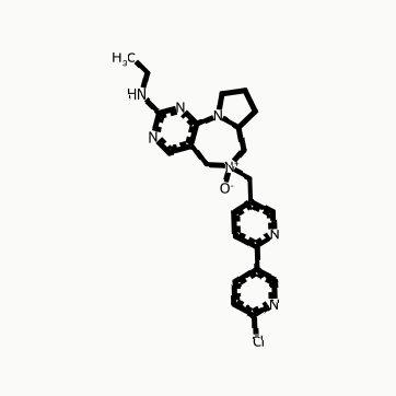 CCNc1ncc2c(n1)N1CCCC1C[N+]([O-])(Cc1ccc(-c3ccc(Cl)nc3)nc1)C2